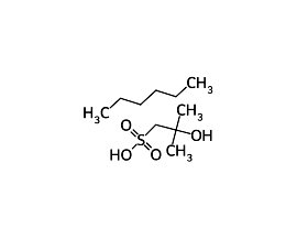 CC(C)(O)CS(=O)(=O)O.CCCCCC